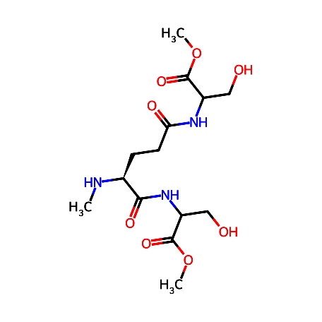 CN[C@@H](CCC(=O)NC(CO)C(=O)OC)C(=O)NC(CO)C(=O)OC